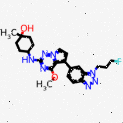 COc1nc(NC2CCC(C)(O)CC2)nn2ccc(-c3ccc4nnn(CCCF)c4c3)c12